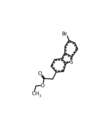 CCOC(=O)Cc1ccc2c(c1)sc1ccc(Br)cc12